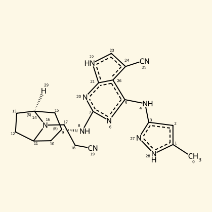 Cc1cc(Nc2nc(N[C@@H]3CC4CC[C@@H](C3)N4CCC#N)nc3[nH]cc(C#N)c23)n[nH]1